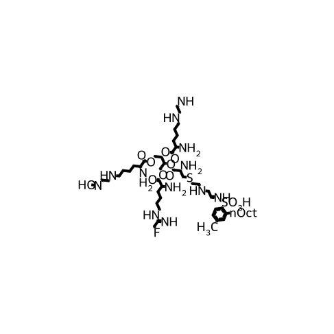 CCCCCCCCc1cc(C)ccc1S(=O)(=O)O.N=CCNCCCCC(N)C(=O)OC(COC(=O)C(N)CCCCNCC=NO)C(COC(=O)C(N)CCCCNC(=N)CF)OC(=O)C(N)CSCCNCC=N